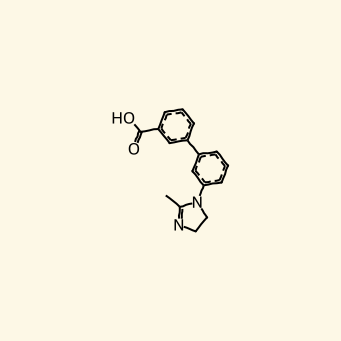 CC1=NCCN1c1cccc(-c2cccc(C(=O)O)c2)c1